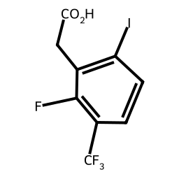 O=C(O)Cc1c(I)ccc(C(F)(F)F)c1F